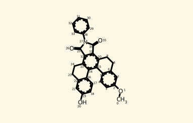 COc1ccc2c(c1)CCc1c3c(c4c(c1-2)-c1ccc(O)cc1CC4)C(=O)N(c1ccccc1)C3=O